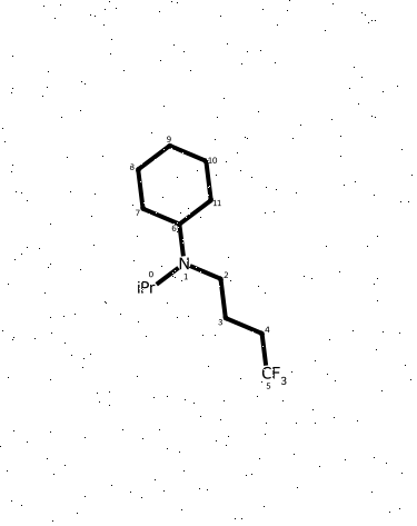 CC(C)N(CCCC(F)(F)F)C1CCCCC1